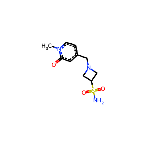 Cn1ccc(CN2CC(S(N)(=O)=O)C2)cc1=O